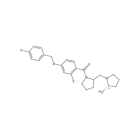 C[C@H]1CCCN1CC1CCCN1C(=O)c1ccc(OCc2ccc(F)cc2)cc1F